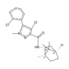 Cn1nc(C(=O)N[C@@H]2C[C@H]3CC[C@]2(C)C3(C)C)c(Cl)c1-c1ccccc1Cl